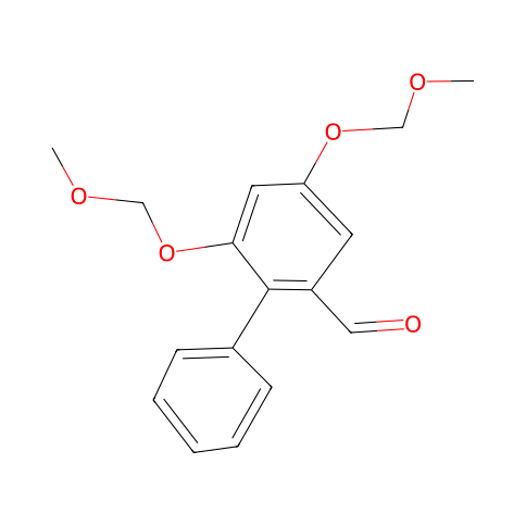 COCOc1cc(C=O)c(-c2ccccc2)c(OCOC)c1